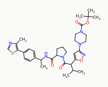 Cc1ncsc1-c1ccc(C(C)NC(=O)C2CCCN2C(=O)C(c2cc(N3CCN(C(=O)OC(C)(C)C)CC3)no2)C(C)C)cc1